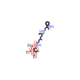 C=C\C(=C/C=C(C)/C=C/C(=O)NO[C@@H]1O[C@@H](C)[C@@H](OC(=O)CC)[C@@H](OC(=O)CC)[C@@H]1OC(=O)CC)CNCCc1c(C)[nH]c2ccccc12